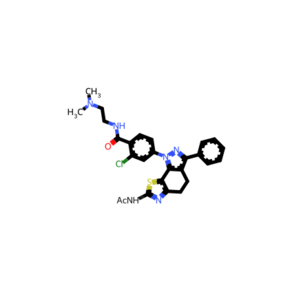 CC(=O)Nc1nc2c(s1)-c1c(c(-c3ccccc3)nn1-c1ccc(C(=O)NCCN(C)C)c(Cl)c1)CC2